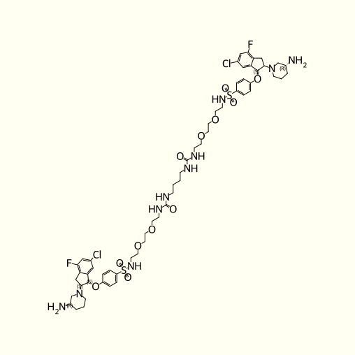 N[C@@H]1CCCN(C2Cc3c(F)cc(Cl)cc3[C@@H]2Oc2ccc(S(=O)(=O)NCCOCCOCCNC(=O)NCCCCNC(=O)NCCOCCOCCNS(=O)(=O)c3ccc(O[C@H]4c5cc(Cl)cc(F)c5C[C@@H]4N4CCC[C@@H](N)C4)cc3)cc2)C1